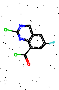 O=C(Cl)c1cc(F)cc2cnc(Cl)nc12